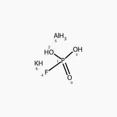 O=P(O)(O)F.[AlH3].[KH]